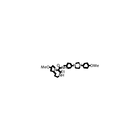 CC/C1=C(\C(=O)NCc2ccc(N3CCN(c4ccc(OC)cc4)CC3)cc2)N2C=CC(OC)=C/C2=C\CCN1